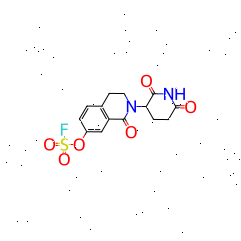 O=C1CCC(N2CCc3ccc(OS(=O)(=O)F)cc3C2=O)C(=O)N1